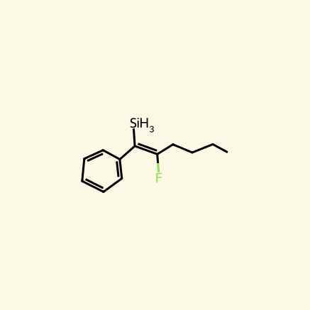 CCCCC(F)=C([SiH3])c1ccccc1